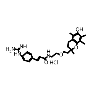 Cc1c(C)c2c(c(C)c1O)CCC(C)(CCOCCNC(=O)/C=C/c1ccc(NC(=N)N)cc1)O2.Cl